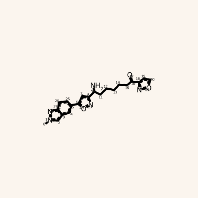 Cn1cc2cc(-c3cc(C(N)CCCCCC(=O)c4ccon4)no3)ccc2n1